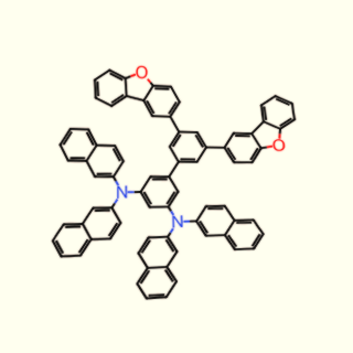 c1ccc2cc(N(c3cc(-c4cc(-c5ccc6oc7ccccc7c6c5)cc(-c5ccc6oc7ccccc7c6c5)c4)cc(N(c4ccc5ccccc5c4)c4ccc5ccccc5c4)c3)c3ccc4ccccc4c3)ccc2c1